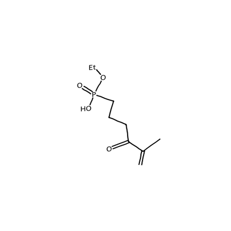 C=C(C)C(=O)CCCP(=O)(O)OCC